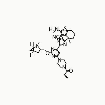 C=CC(=O)N1CCN(c2cc(-c3noc([C@@]4(C)CCCc5sc(N)c(C#N)c54)n3)nc(OC[C@@H]3C[C@@H]4C[C@@H]4N3C)n2)CC1